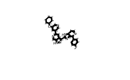 Fc1ccc(-c2nccc3[nH]c(-c4n[nH]c5cnc(-c6cncc(OC7CCCCC7)c6)cc45)nc23)cc1